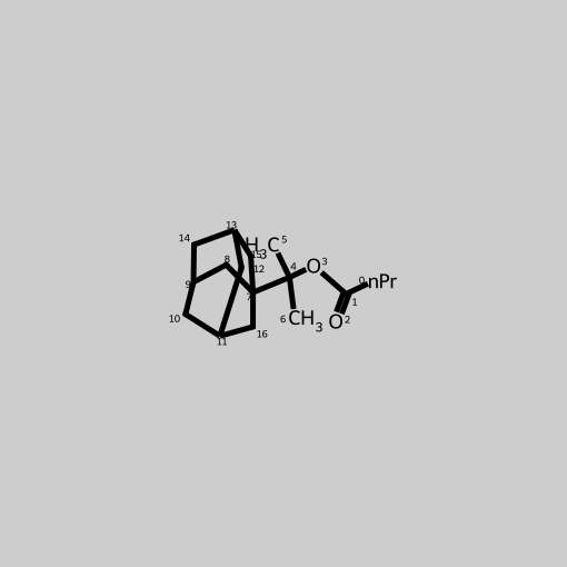 CCCC(=O)OC(C)(C)C12CC3CC(CC(C3)C1)C2